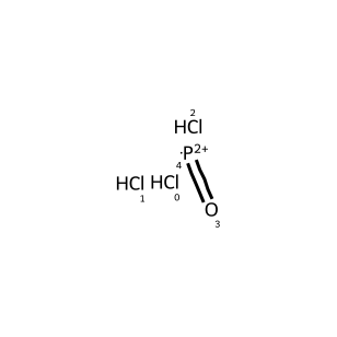 Cl.Cl.Cl.O=[P+2]